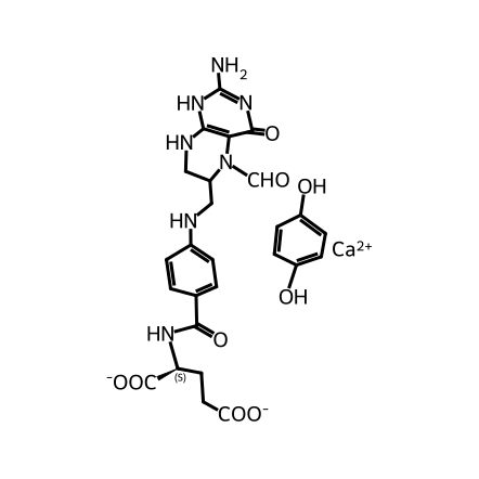 Nc1nc(=O)c2c([nH]1)NCC(CNc1ccc(C(=O)N[C@@H](CCC(=O)[O-])C(=O)[O-])cc1)N2C=O.Oc1ccc(O)cc1.[Ca+2]